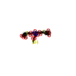 O=C(CCS)OCCn1c(=O)n(CCOC(=O)CCSC2CCC3C(=O)OC(=O)C3C2)c(=O)n(CCOC(=O)CCSC2CCC3C(=O)OC(=O)C3C2)c1=O